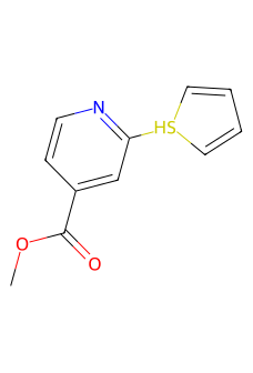 COC(=O)c1ccnc([SH]2C=CC=C2)c1